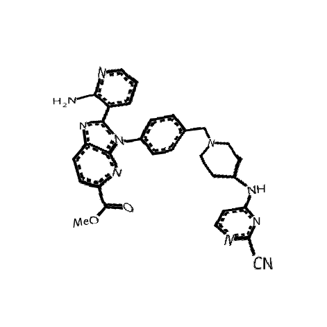 COC(=O)c1ccc2nc(-c3cccnc3N)n(-c3ccc(CN4CCC(Nc5ccnc(C#N)n5)CC4)cc3)c2n1